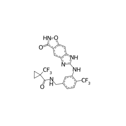 O=C(NCc1ccc(C(F)(F)F)c(Nc2nc3cc4c(=O)[nH]oc4cc3[nH]2)c1)C1(C(F)(F)F)CC1